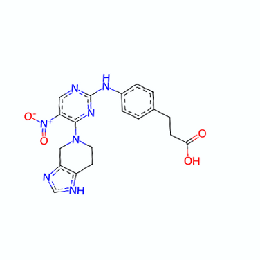 O=C(O)CCc1ccc(Nc2ncc([N+](=O)[O-])c(N3CCc4[nH]cnc4C3)n2)cc1